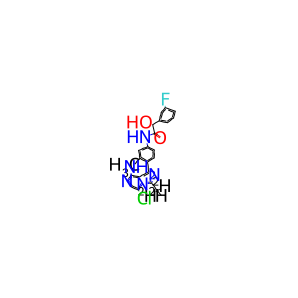 [2H]C([2H])([2H])c1nc(-c2ccc(NC(=O)C(O)c3cccc(F)c3)cc2C)c2c(N)ncc(Cl)n12